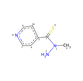 CN(N)C(=S)c1ccncc1